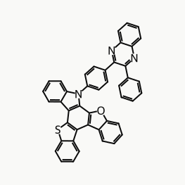 c1ccc(-c2nc3ccccc3nc2-c2ccc(-n3c4ccccc4c4c5sc6ccccc6c5c5c6ccccc6oc5c43)cc2)cc1